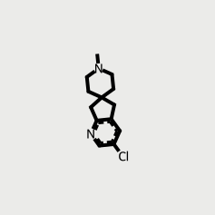 CN1CCC2(CC1)Cc1cc(Cl)cnc1C2